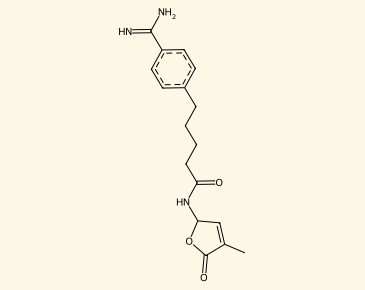 CC1=CC(NC(=O)CCCCc2ccc(C(=N)N)cc2)OC1=O